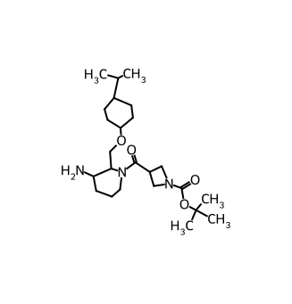 CC(C)C1CCC(OCC2C(N)CCCN2C(=O)C2CN(C(=O)OC(C)(C)C)C2)CC1